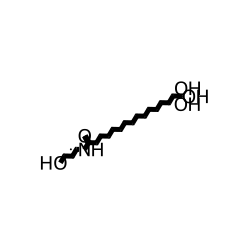 O=C(CCCCCCCCCCCCCCC(O)(O)O)N[CH]CCO